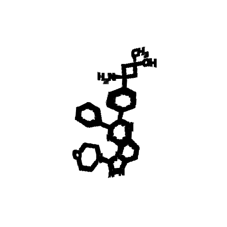 C[C@]1(O)C[C@](N)(c2ccc(-c3nc4ccc5nnc(N6CCOCC6)n5c4nc3-c3ccccc3)cc2)C1